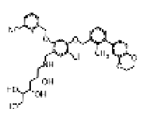 Cc1c(COc2cc(OCc3cccc(C#N)n3)c(CNC[C@H](O)C[C@H](O)[C@H](O)CO)cc2Cl)cccc1-c1ccc2c(c1)OCCO2